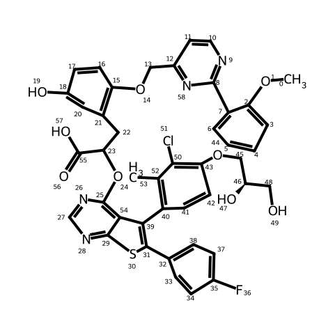 COc1ccccc1-c1nccc(COc2ccc(O)cc2CC(Oc2ncnc3sc(-c4ccc(F)cc4)c(-c4ccc(OC[C@H](O)CO)c(Cl)c4C)c23)C(=O)O)n1